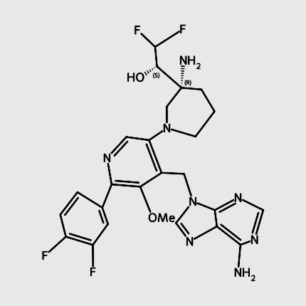 COc1c(-c2ccc(F)c(F)c2)ncc(N2CCC[C@](N)([C@H](O)C(F)F)C2)c1Cn1cnc2c(N)ncnc21